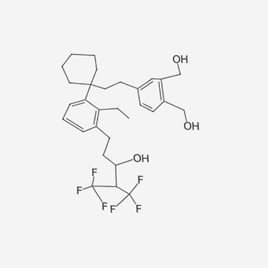 CCc1c(CCC(O)C(C(F)(F)F)C(F)(F)F)cccc1C1(CCc2ccc(CO)c(CO)c2)CCCCC1